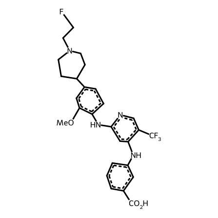 COc1cc(C2CCN(CCF)CC2)ccc1Nc1cc(Nc2cccc(C(=O)O)c2)c(C(F)(F)F)cn1